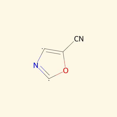 N#Cc1[c]n[c]o1